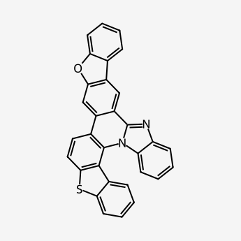 c1ccc2c(c1)nc1c3cc4c(cc3c3ccc5sc6ccccc6c5c3n21)oc1ccccc14